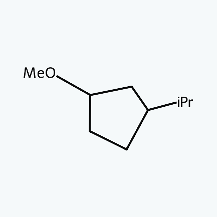 COC1CCC(C(C)C)C1